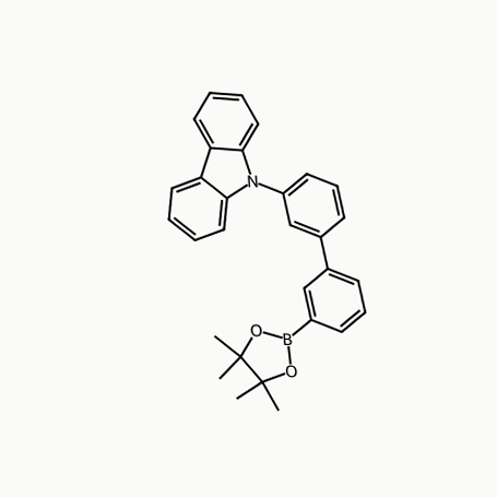 CC1(C)OB(c2cccc(-c3cccc(-n4c5ccccc5c5ccccc54)c3)c2)OC1(C)C